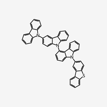 c1ccc2c(c1)sc1ccc(-n3c4ccccc4c4c(-n5c6ccccc6c6cc(-n7c8ccccc8c8ccccc87)ccc65)cccc43)cc12